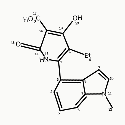 CCc1c(-c2cccc3c2ccn3C)[nH]c(=O)c(C(=O)O)c1O